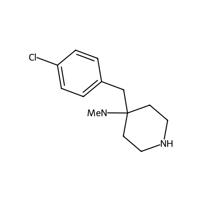 CNC1(Cc2ccc(Cl)cc2)CCNCC1